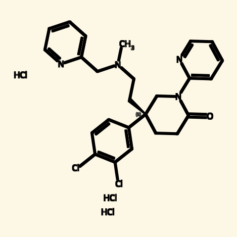 CN(CC[C@]1(c2ccc(Cl)c(Cl)c2)CCC(=O)N(c2ccccn2)C1)Cc1ccccn1.Cl.Cl.Cl